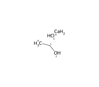 CCO.Cl.[CaH2]